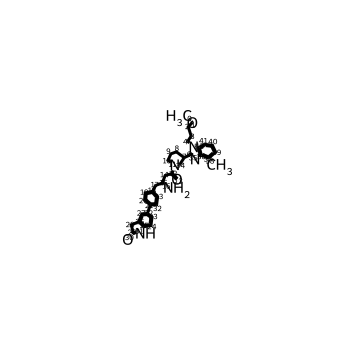 COCCCn1c(C2CCCN(C(=O)CC(N)Cc3ccc(-c4ccc5c(c4)CC(=O)N5)cc3)C2)nc2c(C)cccc21